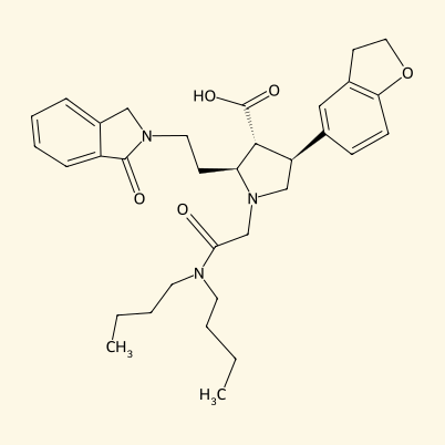 CCCCN(CCCC)C(=O)CN1C[C@H](c2ccc3c(c2)CCO3)[C@@H](C(=O)O)[C@@H]1CCN1Cc2ccccc2C1=O